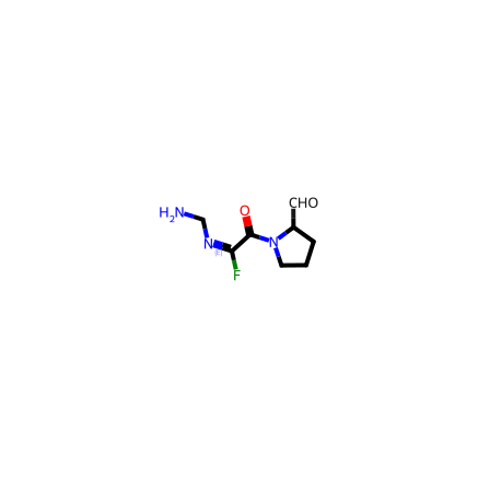 NC/N=C(/F)C(=O)N1CCCC1C=O